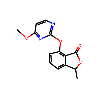 COc1ccnc(Oc2cccc3c2C(=O)OC3C)n1